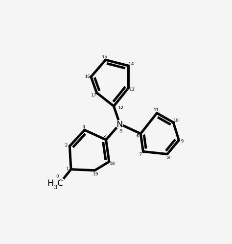 CC1C=CC(N(c2ccccc2)c2ccccc2)=CC1